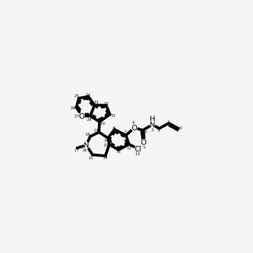 C=CCNC(=O)Oc1cc2c(cc1Cl)CCN(C)CC2c1ccc2cccoc1-2